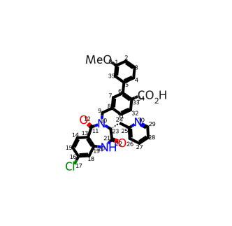 COc1cccc(-c2cc(CN3C(=O)c4ccc(Cl)cc4NC(=O)[C@H]3Cc3ccccn3)ccc2C(=O)O)c1